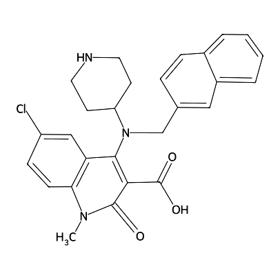 Cn1c(=O)c(C(=O)O)c(N(Cc2ccc3ccccc3c2)C2CCNCC2)c2cc(Cl)ccc21